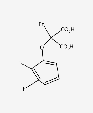 CCC(Oc1cccc(F)c1F)(C(=O)O)C(=O)O